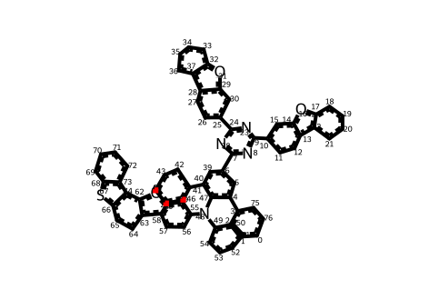 c1ccc(-c2cc(-c3nc(-c4ccc5c(c4)oc4ccccc45)nc(-c4ccc5c(c4)oc4ccccc45)n3)cc(-c3ccccc3)c2N(c2ccccc2)c2ccc3c(c2)oc2c3ccc3sc4ccccc4c32)cc1